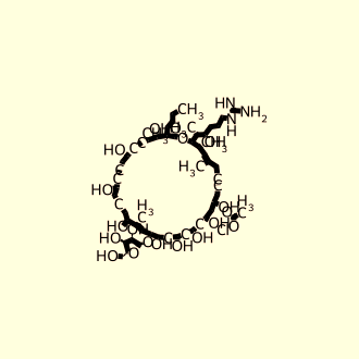 CC(=O)OCl.CCCCC1C(=O)OC(C(C)C(O)CCCNC(=N)N)C(C)/C=C(\C)CCCCC(O)CC(O)CC(O)CC(O)CC(O)C(O[C@H]2O[C@H](CO)[C@@H](O)[C@@H]2O)/C=C(\C)C(O)CCCC(O)CCCC(O)CCC(C)C1O